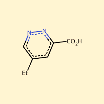 CCc1cnnc(C(=O)O)c1